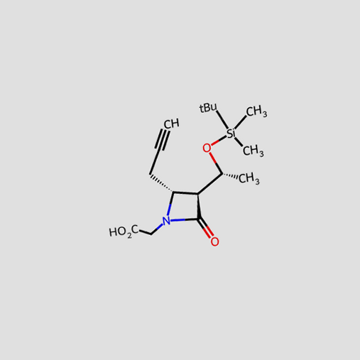 C#CC[C@@H]1[C@@H]([C@@H](C)O[Si](C)(C)C(C)(C)C)C(=O)N1CC(=O)O